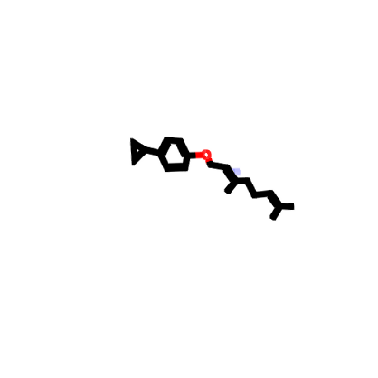 CC(C)=CCC/C(C)=C/COc1ccc(C2CC2)cc1